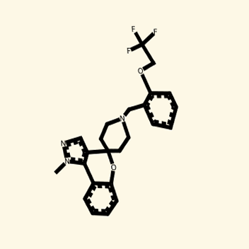 Cn1ncc2c1-c1ccccc1OC21CCN(Cc2ccccc2OCC(F)(F)F)CC1